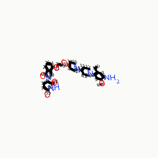 CCc1cc(N)c(OC)cc1N1CCC(N2CCC(OCCOc3cccc4c3CN(C3CCC(=O)NC3=O)C4=O)CC2)CC1